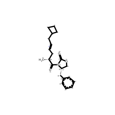 C[C@H](C/C=C/CC1CCC1)C(=O)N1C(=O)OC[C@@H]1Cc1ccccc1